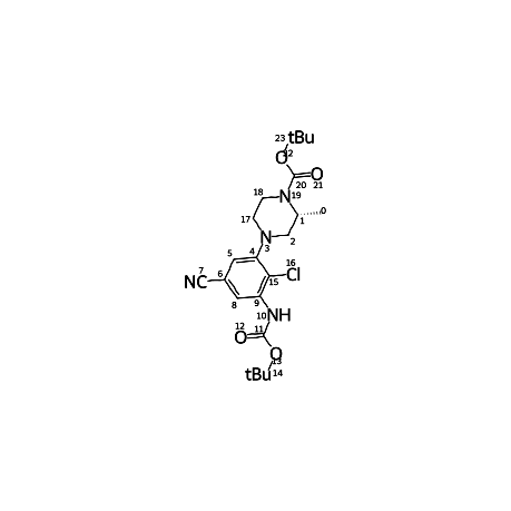 C[C@@H]1CN(c2cc(C#N)cc(NC(=O)OC(C)(C)C)c2Cl)CCN1C(=O)OC(C)(C)C